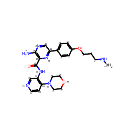 BNCCCOc1ccc(-c2cnc(N)c(C(=O)Nc3cnccc3N3CCOCC3)n2)cc1